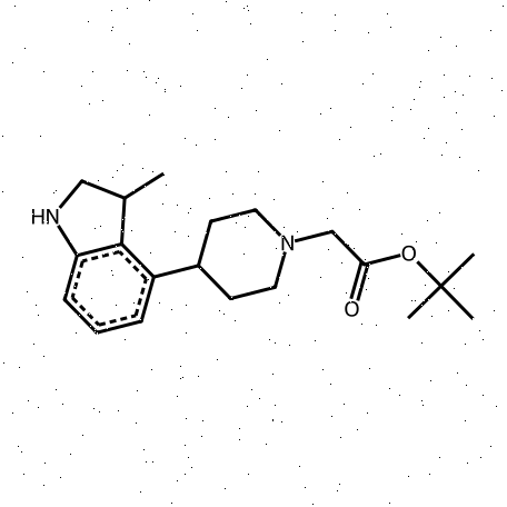 CC1CNc2cccc(C3CCN(CC(=O)OC(C)(C)C)CC3)c21